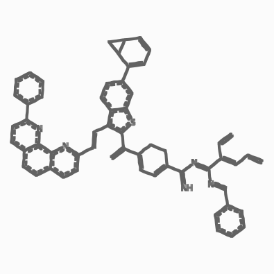 C=C/C=C(C=C)/C(=N/C(=N)C1=CC=C(C(=C)c2sc3cc(C4=CC=CC5CC45)ccc3c2/C=C/c2ccc3ccc4ccc(-c5ccccc5)nc4c3n2)CC1)/N=C/c1ccccc1